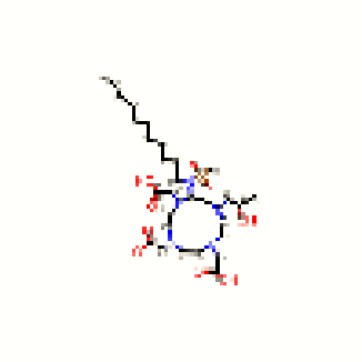 CCCCCCCCCCCN(C1CN(CC(C)O)CCN(CC(=O)O)CCN(CC(=O)O)CCN1CC(=O)O)S(C)(=O)=O